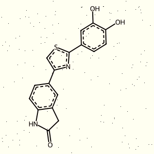 O=C1Cc2cc(-c3csc(-c4ccc(O)c(O)c4)n3)ccc2N1